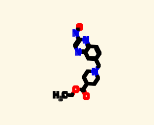 CCOC(=O)C1CCN(Cc2ccc3nc(N=O)cnc3c2)CC1